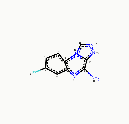 Nc1nc2cc(F)ccc2n2cnnc12